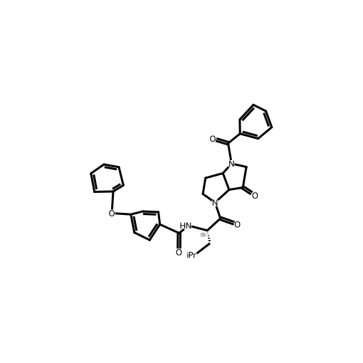 CC(C)C[C@H](NC(=O)c1ccc(Oc2ccccc2)cc1)C(=O)N1CCC2C1C(=O)CN2C(=O)c1ccccc1